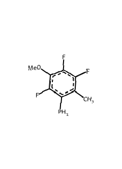 COc1c(F)c(F)c(C)c(P)c1F